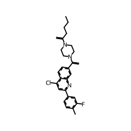 C=C(CCCC)N1CCN(C(=C)c2ccc3c(Cl)cc(-c4ccc(C)c(F)c4)nc3c2)CC1